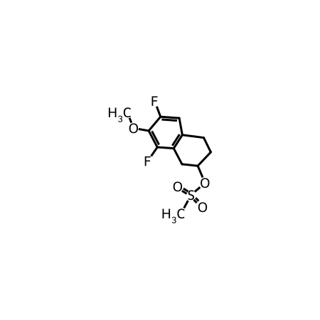 COc1c(F)cc2c(c1F)CC(OS(C)(=O)=O)CC2